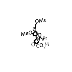 COCCCOc1cc2c(cc1OC)-c1cc(=O)c(C(=O)O)cn1C(C(C)C)O2